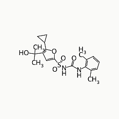 Cc1cccc(C)c1NC(=O)NS(=O)(=O)c1cc(C(C)(C)O)c(C2CC2)o1